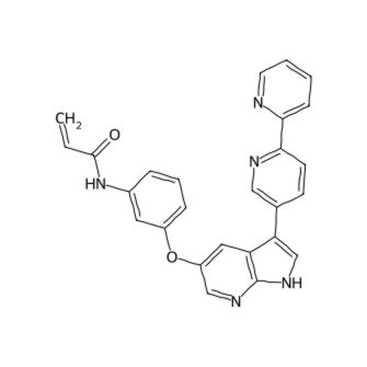 C=CC(=O)Nc1cccc(Oc2cnc3[nH]cc(-c4ccc(-c5ccccn5)nc4)c3c2)c1